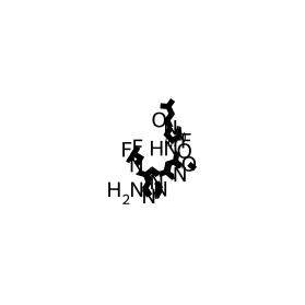 COc1ncc(-c2cc(CN3CC(F)(F)C3)c3c(N)ncnn23)cc1C(=O)N[C@@H]1CN(C(=O)CC(C)C)C[C@@H]1F